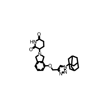 O=C1CCC(N2Cc3cccc(OCc4cn(C56CC7CC(CC(C7)C5)C6)nn4)c3C2)C(=O)N1